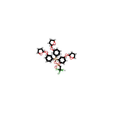 O=S(=O)(CC(F)(F)F)OS(c1cccc(OC2CCCO2)c1)(c1cccc(OC2CCCO2)c1)c1cccc(OC2CCCO2)c1